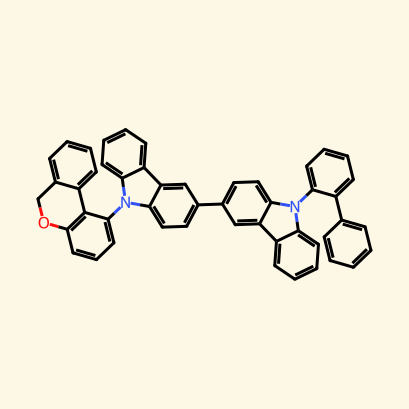 c1ccc(-c2ccccc2-n2c3ccccc3c3cc(-c4ccc5c(c4)c4ccccc4n5-c4cccc5c4-c4ccccc4CO5)ccc32)cc1